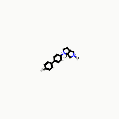 CCN1CC2CCN(c3ccc(-c4ccc(C#N)cc4)cc3)[C@H]2C1